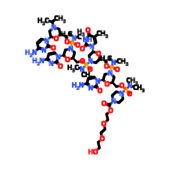 Cc1cn([C@H]2CN(P(=O)(OC[C@@H]3CN(P(=O)(OC[C@@H]4CN(C(C)C)C[C@H](n5ccc(N)nc5=O)O4)N(C)C)C[C@H](n4ccc(N)nc4=O)O3)N(C)C)C[C@@H](COP(=O)(N(C)C)N3C[C@@H](COP(=O)(N(C)C)N4CCN(C(=O)OCCOCCOCCO)CC4)O[C@@H](n4ccc(N)nc4=O)C3)O2)c(=O)[nH]c1=O